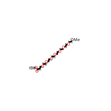 COCCOCCOCCOCCOCCOCCOCCOCCC(=O)OC(C)(C)C